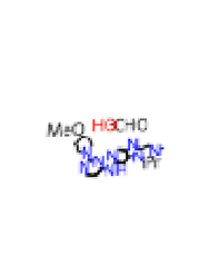 COC1CCN(c2nccc(Nc3cc4c(cn3)nc(CN(C)C)n4C(C)C)n2)CC1.O=CO